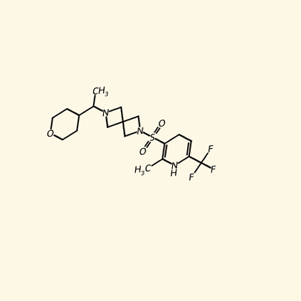 CC1=C(S(=O)(=O)N2CC3(CN(C(C)C4CCOCC4)C3)C2)CC=C(C(F)(F)F)N1